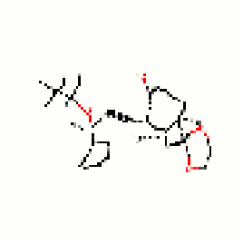 CC(C)(C)[Si](C)(C)O[C@@](C)(C#C[C@H]1[C@@H]2CC3(OCCO3)[C@@H]2CC[C@@H]1O)C1CCC1